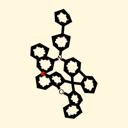 c1ccc(-c2ccc(N(c3ccc4c(c3)C3(c5ccccc5-4)c4ccc5ccccc5c4Oc4c3ccc3ccccc43)c3cccc4ccccc34)cc2)cc1